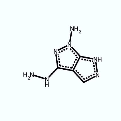 NNc1nn(N)c2[nH]ncc12